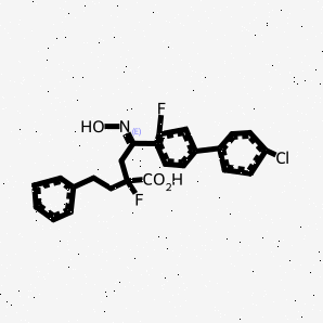 O=C(O)C(F)(CCc1ccccc1)C/C(=N\O)c1ccc(-c2ccc(Cl)cc2)cc1F